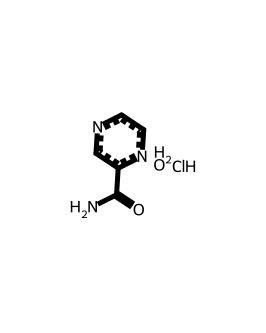 Cl.NC(=O)c1cnccn1.O